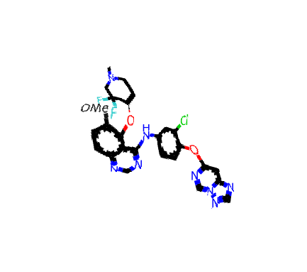 COc1ccc2ncnc(Nc3ccc(Oc4cc5ncnn5cn4)c(Cl)c3)c2c1O[C@H]1CCN(C)CC1(F)F